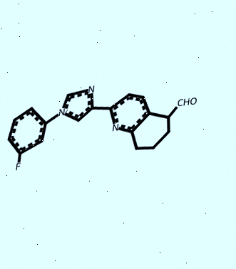 O=CC1CCCc2nc(-c3cn(-c4cccc(F)c4)cn3)ccc21